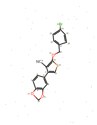 N#Cc1c(-c2ccc3c(c2)OCO3)csc1OCc1ccc(Br)cc1